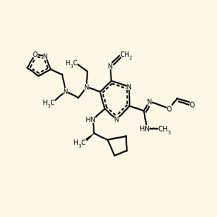 C=Nc1nc(/C(=N/OC=O)NC)nc(N[C@H](C)C2CCC2)c1N(CC)CN(C)Cc1ccon1